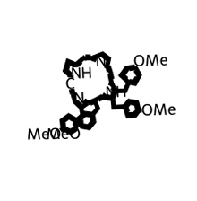 COc1ccc(CC2=Cc3cc4ccc(cc5nc(cc6[nH]c(c(Cc7ccc(OC)cc7)c2n3)c(Cc2ccc(OC)cc2)c6Cc2ccc(OC)cc2)C=C5)[nH]4)cc1